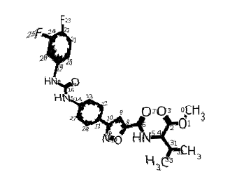 COC(=O)C(NC(=O)c1cc(-c2ccc(NC(=O)Nc3ccc(F)c(F)c3)cc2)no1)C(C)C